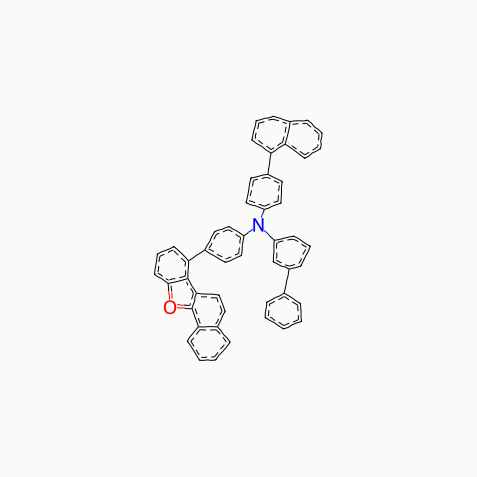 c1ccc(-c2cccc(N(c3ccc(-c4cccc5ccccc45)cc3)c3ccc(-c4cccc5oc6c7ccccc7ccc6c45)cc3)c2)cc1